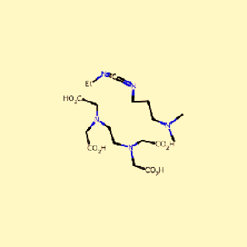 CCN=C=NCCCN(C)C.O=C(O)CN(CCN(CC(=O)O)CC(=O)O)CC(=O)O